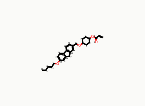 C=CC(=O)OC1CCC(OCc2ccc3c(c2)Cc2cc(OCCCCC)ccc2-3)CC1